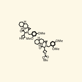 COc1ccc(CN(C2CC2)C(C(=O)N2CCC[C@H]3CCCC[C@@H]32)C2CN(C(=O)OC(C)(C)C)C2)c(OC)c1.COc1ccc(CN(C2CC2)C(C(=O)N2CCC[C@H]3CCCC[C@@H]32)C2CNC2)c(OC)c1